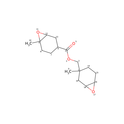 CC1(COC(=O)C2CCC3(C)OC3C2)CCC2OC2C1